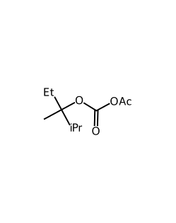 CCC(C)(OC(=O)OC(C)=O)C(C)C